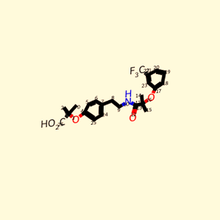 CC(C)(Oc1ccc(CCNC(=O)C(C)(C)Oc2cccc(C(F)(F)F)c2)cc1)C(=O)O